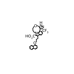 O=C(O)c1c(CCCOc2cccc3ccccc23)c2cccc3c2n1CCCCOCc1[nH]nc(C(F)(F)F)c1-3